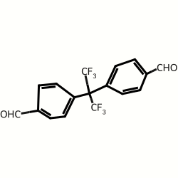 O=Cc1ccc(C(c2ccc(C=O)cc2)(C(F)(F)F)C(F)(F)F)cc1